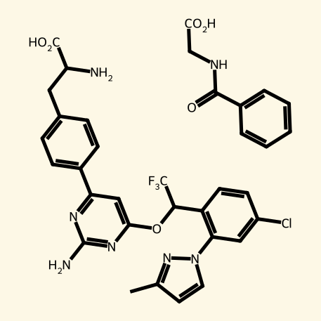 Cc1ccn(-c2cc(Cl)ccc2C(Oc2cc(-c3ccc(CC(N)C(=O)O)cc3)nc(N)n2)C(F)(F)F)n1.O=C(O)CNC(=O)c1ccccc1